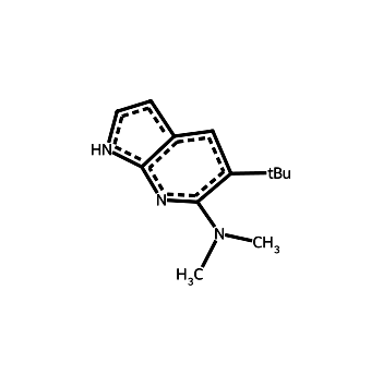 CN(C)c1nc2[nH]ccc2cc1C(C)(C)C